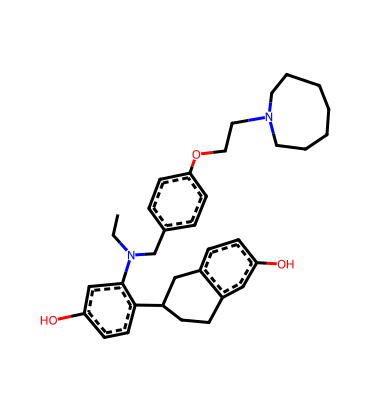 CCN(Cc1ccc(OCCN2CCCCCCC2)cc1)c1cc(O)ccc1C1CCc2cc(O)ccc2C1